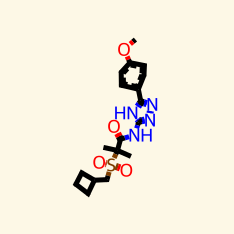 COc1ccc(-c2nnc(NC(=O)C(C)(C)S(=O)(=O)CC3CCC3)[nH]2)cc1